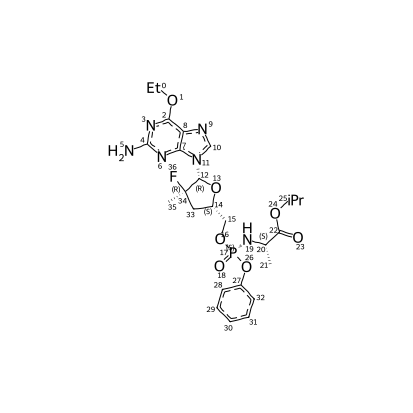 CCOc1nc(N)nc2c1ncn2[C@@H]1O[C@H](CO[P@@](=O)(N[C@@H](C)C(=O)OC(C)C)Oc2ccccc2)C[C@@]1(C)F